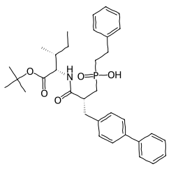 CC[C@@H](C)[C@H](NC(=O)[C@@H](Cc1ccc(-c2ccccc2)cc1)CP(=O)(O)CCc1ccccc1)C(=O)OC(C)(C)C